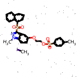 CI.Cc1ccc(S(=O)(=O)OCCOc2ccc3c(c2)c(S(=O)(=O)c2cccc4ccccc24)nn3C)cc1